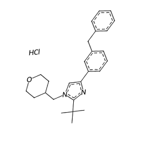 CC(C)(C)c1nc(-c2cccc(Cc3ccccc3)c2)cn1CC1CCOCC1.Cl